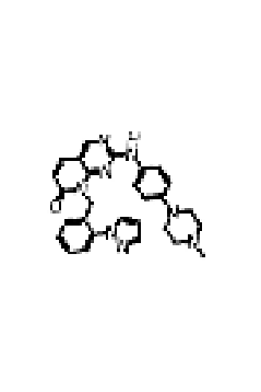 CN1CCN(c2ccc(Nc3ncc4ccc(=O)n(Cc5ccccc5-n5cccn5)c4n3)cc2)CC1